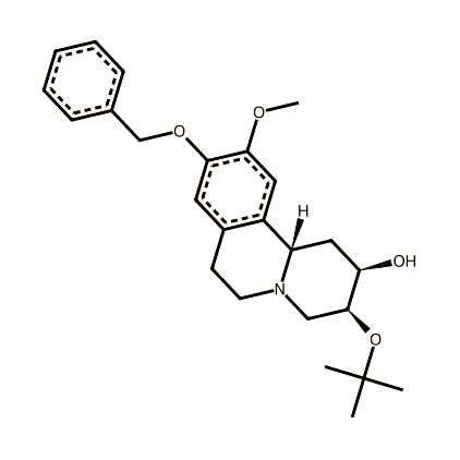 COc1cc2c(cc1OCc1ccccc1)CCN1C[C@H](OC(C)(C)C)[C@H](O)C[C@@H]21